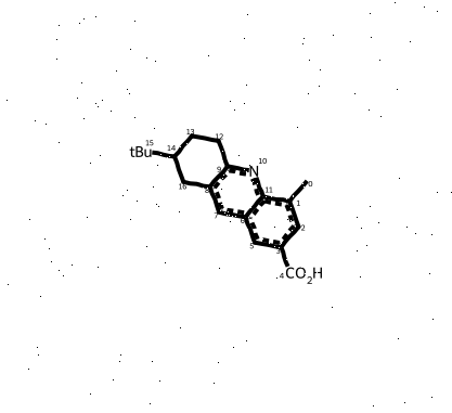 Cc1cc(C(=O)O)cc2cc3c(nc12)CCC(C(C)(C)C)C3